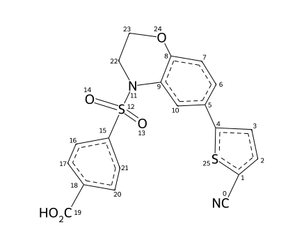 N#Cc1ccc(-c2ccc3c(c2)N(S(=O)(=O)c2ccc(C(=O)O)cc2)CCO3)s1